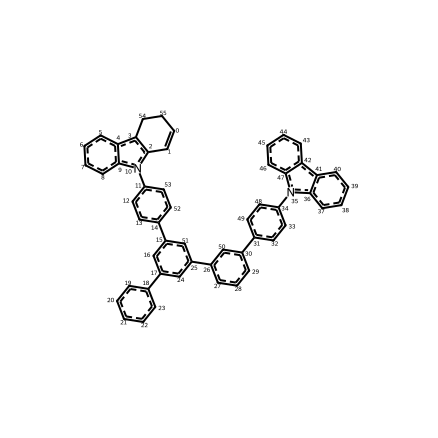 C1=Cc2c(c3ccccc3n2-c2ccc(-c3cc(-c4ccccc4)cc(-c4cccc(-c5ccc(-n6c7ccccc7c7ccccc76)cc5)c4)c3)cc2)CC1